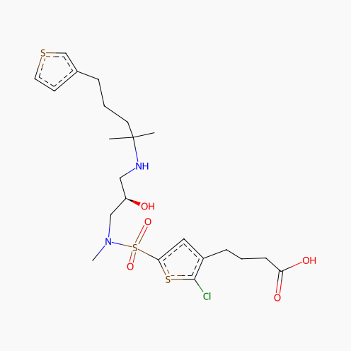 CN(C[C@H](O)CNC(C)(C)CCCc1ccsc1)S(=O)(=O)c1cc(CCCC(=O)O)c(Cl)s1